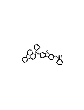 c1ccc(Nc2ccc3c(c2)sc2cc(N(c4ccccc4)c4ccc5c6c(cccc46)-c4ccccc4-5)ccc23)cc1